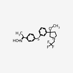 COC1(c2cccc(Sc3ccc(/C(C)=N/O)cc3)c2)CCN(CC(F)(F)F)C1